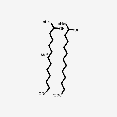 CCCCCCC(O)CCCCCCCCCCC(=O)[O-].CCCCCCC(O)CCCCCCCCCCC(=O)[O-].[Mg+2]